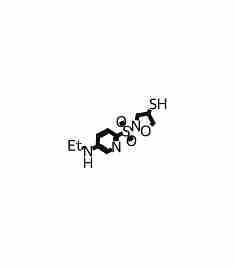 CCNc1ccc(S(=O)(=O)N2CC(S)CO2)nc1